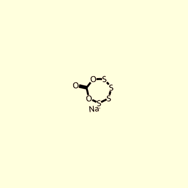 O=C1OSSSSO1.[Na]